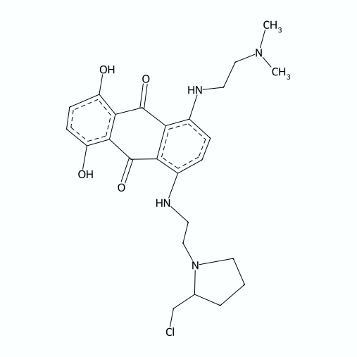 CN(C)CCNc1ccc(NCCN2CCCC2CCl)c2c1C(=O)c1c(O)ccc(O)c1C2=O